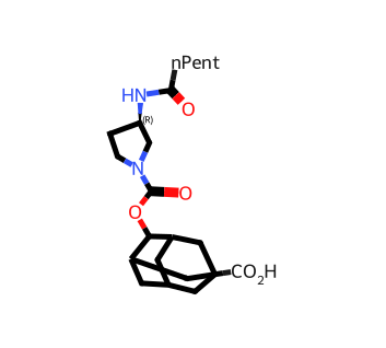 CCCCCC(=O)N[C@@H]1CCN(C(=O)OC2C3CC4CC2CC(C(=O)O)(C4)C3)C1